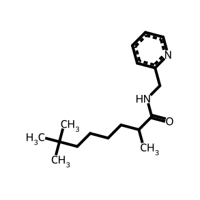 CC(CCCCC(C)(C)C)C(=O)NCc1ccccn1